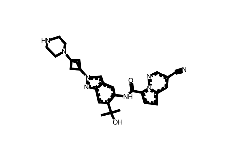 CC(C)(O)c1cc2nn(C34CC(N5CCNCC5)(C3)C4)cc2cc1NC(=O)c1ccc2cc(C#N)cnn12